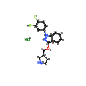 Cl.Fc1ccc(-n2nc(OC[C@H]3CCNC3)c3ccccc32)cc1F